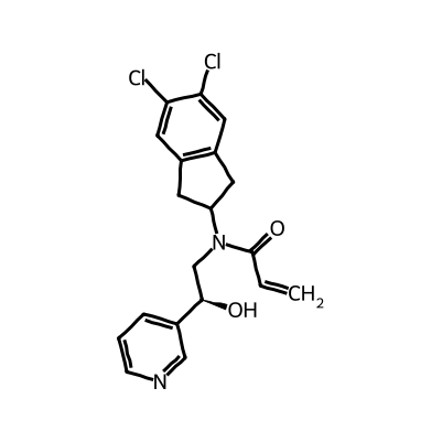 C=CC(=O)N(C[C@@H](O)c1cccnc1)C1Cc2cc(Cl)c(Cl)cc2C1